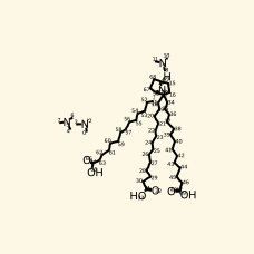 CN(C)C.CN(C)C.CN(C)C.CN1[C@@H]2CCC(CCCCCCCCCCCCCC(=O)O)(CCCCCCCCCCCCCC(=O)O)[C@@]1(CCCCCCCCCCCCCC(=O)O)CC2